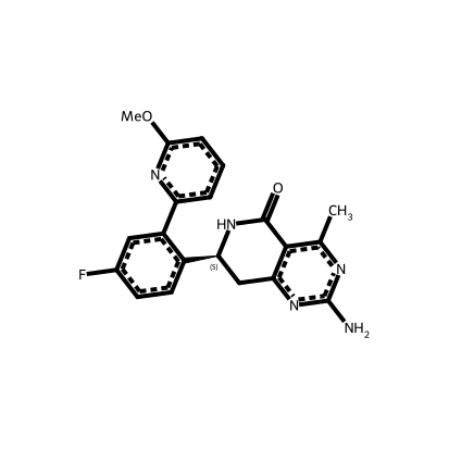 COc1cccc(-c2cc(F)ccc2[C@@H]2Cc3nc(N)nc(C)c3C(=O)N2)n1